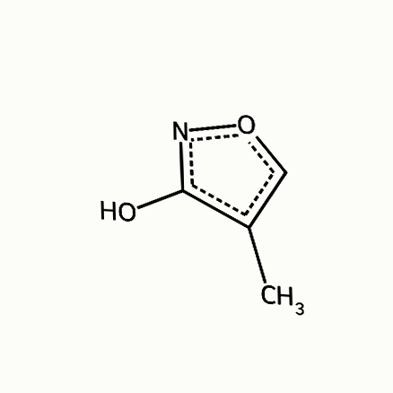 Cc1conc1O